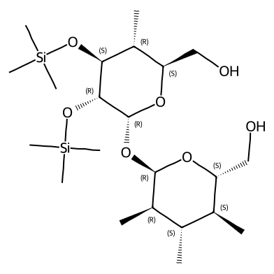 C[C@@H]1[C@@H](C)[C@@H](O[C@H]2O[C@H](CO)[C@@H](C)[C@H](O[Si](C)(C)C)[C@H]2O[Si](C)(C)C)O[C@H](CO)[C@H]1C